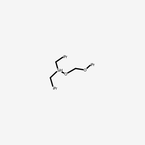 CC(C)C[SiH](CC(C)C)OCOC(C)C